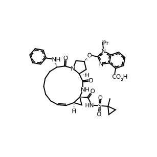 CC(C)n1c(O[C@@H]2C[C@H]3C(=O)N[C@]4(C(=O)NS(=O)(=O)C5(C)CC5)C[C@H]4/C=C\CCCCC[C@H](Nc4ccccc4)C(=O)N3C2)nc2c(C(=O)O)cccc21